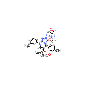 COC(=O)C1=C(C)N(c2cccc(C(F)(F)F)c2)c2n[nH]c(=O)n2[C@@H]1c1ccc(C#N)cc1CC[N+](C)(C)C1COC1.O=C[O-]